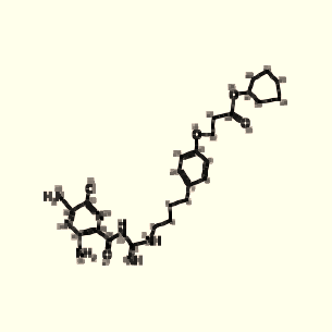 N=C(NCCCCc1ccc(OCCC(=O)OC2CCCCC2)cc1)NC(=O)c1nc(Cl)c(N)nc1N